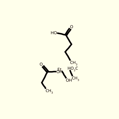 CC(=O)O.CCC(=O)O.CCCC(=O)O.CCO